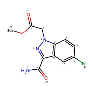 CC(C)(C)OC(=O)Cn1nc(C(N)=O)c2cc(Br)ccc21